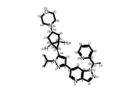 CC(C)n1nc(-c2cnc3cnn([C@H](C)c4ccccn4)c3c2)cc1[C@H]1[C@@H]2C[C@@H](N3CCOCC3)C[C@@H]21